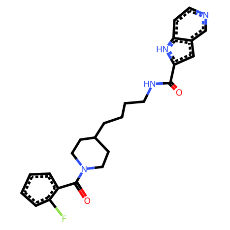 O=C(NCCCCC1CCN(C(=O)c2ccccc2F)CC1)c1cc2cnccc2[nH]1